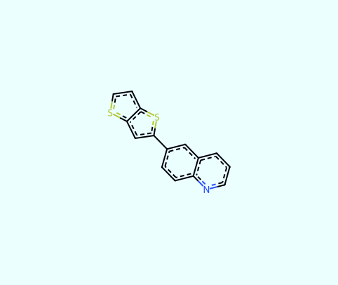 c1cnc2ccc(-c3cc4sccc4s3)cc2c1